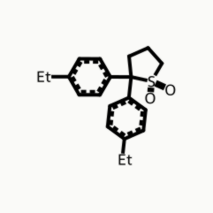 CCc1ccc(C2(c3ccc(CC)cc3)CCCS2(=O)=O)cc1